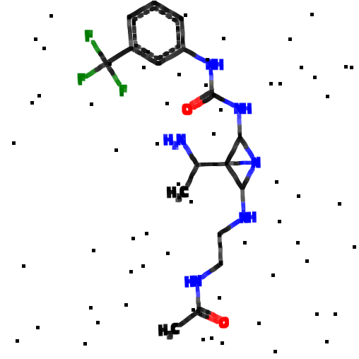 CC(=O)NCCNC1N2C(NC(=O)Nc3cccc(C(F)(F)F)c3)C12C(C)N